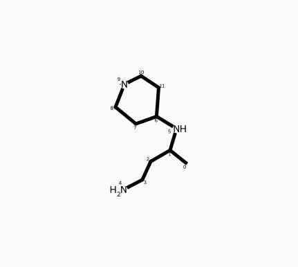 CC(CCN)NC1CC[N]CC1